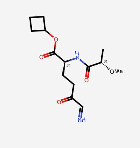 CO[C@@H](C)C(=O)N[C@@H](CCC(=O)C=N)C(=O)OC1CCC1